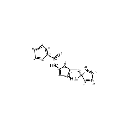 CC1(Sc2ncc(NC(=O)c3ccccc3)s2)N=NN=N1